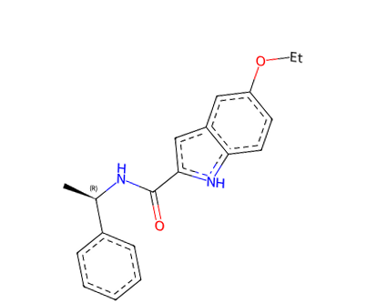 CCOc1ccc2[nH]c(C(=O)N[C@H](C)c3ccccc3)cc2c1